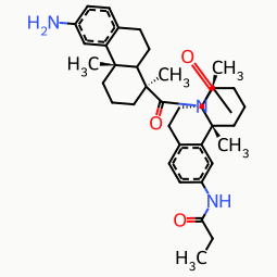 CCC(=O)Nc1ccc2c(c1)[C@@]1(C)CCC[C@]3(C)C(=O)N(C(=O)[C@@]4(C)CCC[C@]5(C)c6cc(N)ccc6CCC45)[C@]31CC2